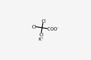 O=C([O-])C(Cl)(Cl)Cl.[K+]